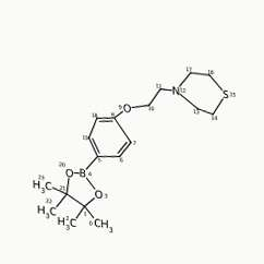 CC1(C)OB(c2ccc(OCCN3CCSCC3)cc2)OC1(C)C